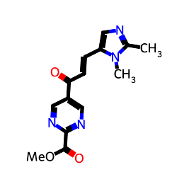 COC(=O)c1ncc(C(=O)/C=C/c2cnc(C)n2C)cn1